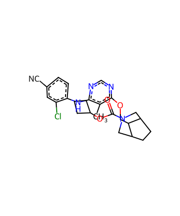 Cc1c(Nc2ccc(C#N)cc2Cl)ncnc1OCC1C2CCC1CN(C(=O)OC1CCC1)C2